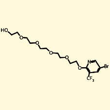 OCCOCCOCCOCCOCCOc1ncc(Br)cc1C(F)(F)F